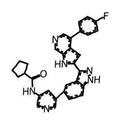 O=C(Nc1cncc(-c2ccc3[nH]nc(-c4cc5c(-c6ccc(F)cc6)cncc5[nH]4)c3c2)c1)C1CCCC1